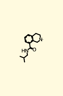 CC(C)CNC(=O)c1cccc2c1C[N]CC2